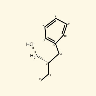 CC[C@H](N)Cc1ccccc1.Cl